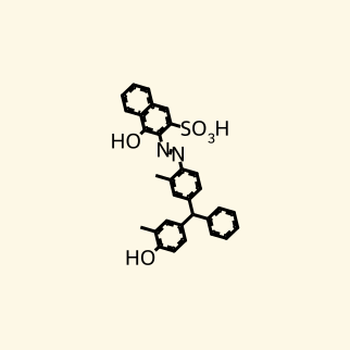 Cc1cc(C(c2ccccc2)c2ccc(/N=N/c3c(S(=O)(=O)O)cc4ccccc4c3O)c(C)c2)ccc1O